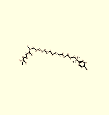 Cc1ccc(S(=O)(=O)OCCOCCOCCOCCOCCN(C)C(=O)OCC[Si](C)(C)C)cc1